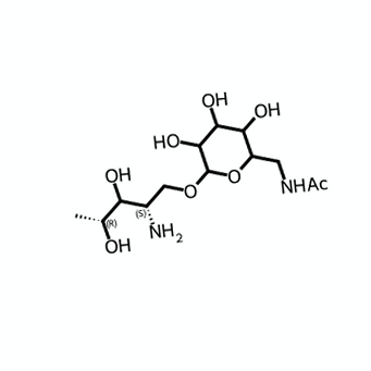 CC(=O)NCC1OC(OC[C@H](N)C(O)[C@@H](C)O)C(O)C(O)C1O